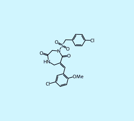 COc1ccc(Cl)cc1C=C1CNC(=O)CN(S(=O)(=O)Cc2ccc(Cl)cc2)C1=O